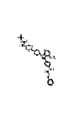 CC(C)(C)OC(=O)NC1COC(C2CCC(n3cc(-c4ccc(NC(=O)CCc5ccccc5)cc4)c4c(N)ncnc43)CC2)OC1